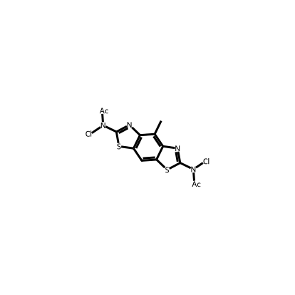 CC(=O)N(Cl)c1nc2c(C)c3nc(N(Cl)C(C)=O)sc3cc2s1